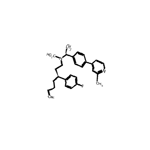 Cc1cc(-c2ccc([C@H](C)N(CC[C@H](CCCO)c3ccc(F)cc3)C(=O)O)cc2)ccn1